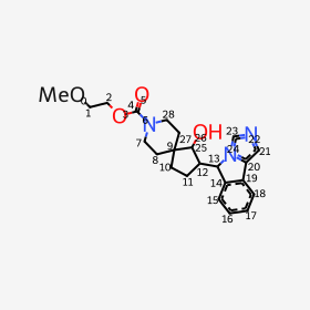 COCCOC(=O)N1CCC2(CCC(C3c4ccccc4-c4cncn43)C2O)CC1